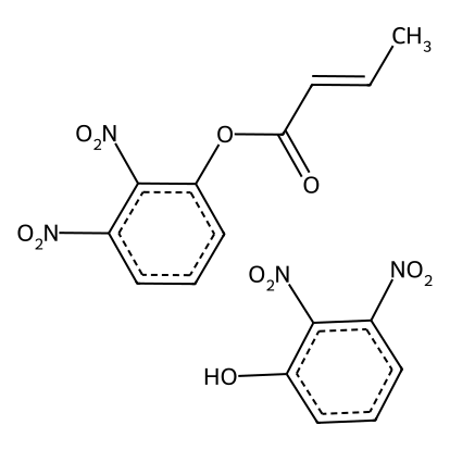 C/C=C/C(=O)Oc1cccc([N+](=O)[O-])c1[N+](=O)[O-].O=[N+]([O-])c1cccc(O)c1[N+](=O)[O-]